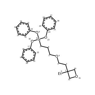 CCC1(CCOCCC[Si](Oc2ccccc2)(Oc2ccccc2)Oc2ccccc2)COC1